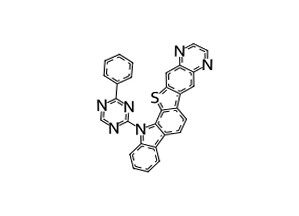 c1ccc(-c2ncnc(-n3c4ccccc4c4ccc5c6cc7nccnc7cc6sc5c43)n2)cc1